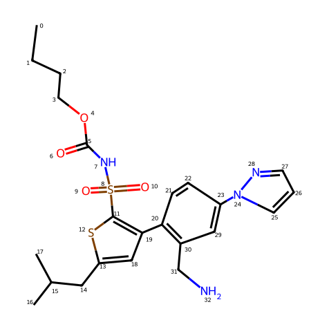 CCCCOC(=O)NS(=O)(=O)c1sc(CC(C)C)cc1-c1ccc(-n2cccn2)cc1CN